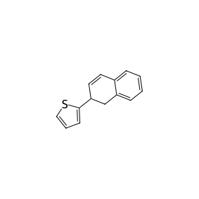 C1=CC(c2cccs2)Cc2ccccc21